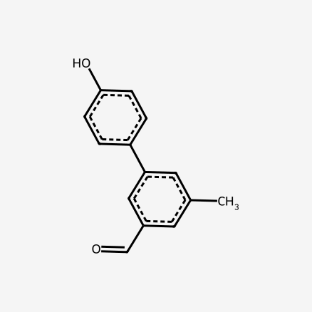 Cc1cc(C=O)cc(-c2ccc(O)cc2)c1